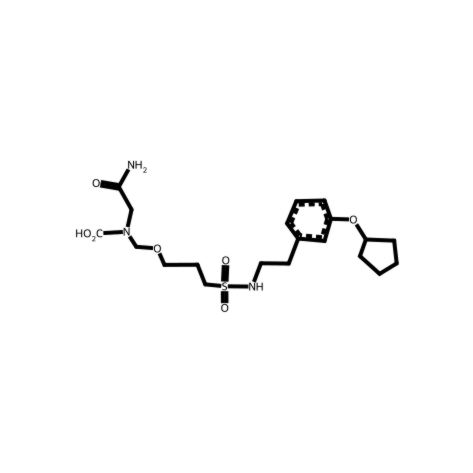 NC(=O)CN(COCCCS(=O)(=O)NCCc1cccc(OC2CCCC2)c1)C(=O)O